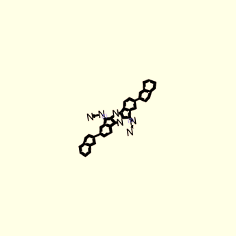 N#C/N=c1/c2cc(-c3ccc4ccccc4c3)ccc2c2nc3/c(=N/C#N)c4cc(-c5ccc6ccccc6c5)ccc4c3nc12